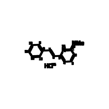 CNc1cccc(/C=C/c2ccccc2)n1.Cl